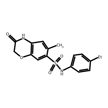 CCc1ccc(NS(=O)(=O)c2cc3c(cc2C)NC(=O)CO3)cc1